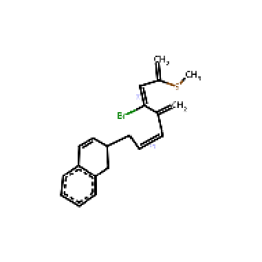 C=C(/C=C(/Br)C(=C)/C=C\CC1C=Cc2ccccc2C1)SC